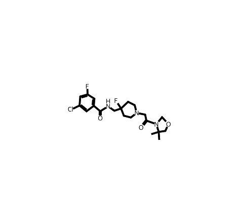 CC1(C)COCN1C(=O)CN1CCC(F)(CNC(=O)c2cc(F)cc(Cl)c2)CC1